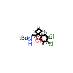 CC(C)(C)NCC(O)C1(c2ccc(Cl)c(Cl)c2)CCC1